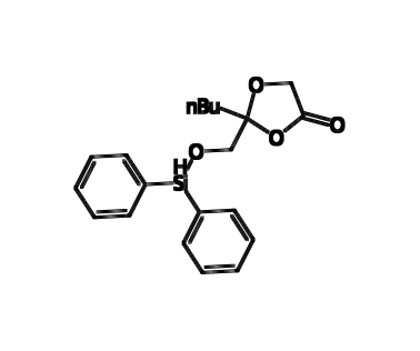 CCCCC1(CO[SiH](c2ccccc2)c2ccccc2)OCC(=O)O1